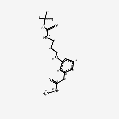 CC(C)(C)OC(=O)NCCCOc1cccc(CC(=O)NN)c1